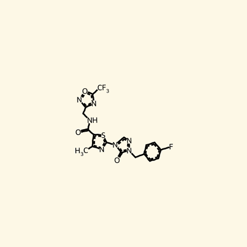 Cc1nc(-n2cnn(Cc3ccc(F)cc3)c2=O)sc1C(=O)NCc1noc(C(F)(F)F)n1